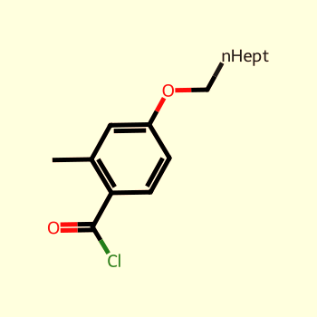 CCCCCCCCOc1ccc(C(=O)Cl)c(C)c1